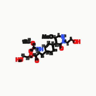 COc1cnn(CCO)c(=O)c1-c1ccc(C[C@H](NC(=O)OC(C)(C)C)C(=O)OCCO)cc1